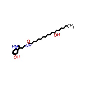 CCCCCCC(O)CCCCCCCCCCC(=O)NCCc1c[nH]c2ccc(O)cc12